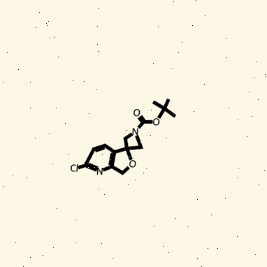 CC(C)(C)OC(=O)N1CC2(C1)OCc1nc(Cl)ccc12